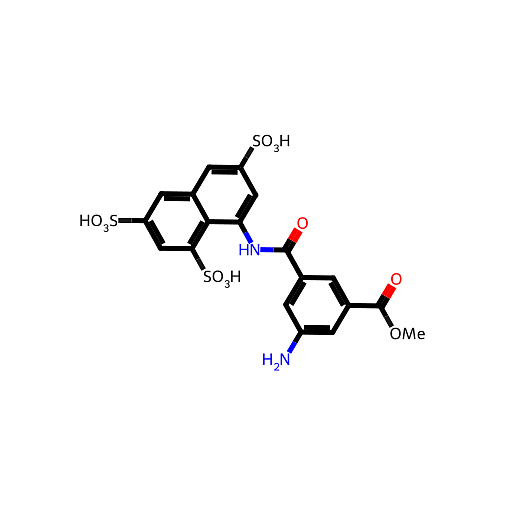 COC(=O)c1cc(N)cc(C(=O)Nc2cc(S(=O)(=O)O)cc3cc(S(=O)(=O)O)cc(S(=O)(=O)O)c23)c1